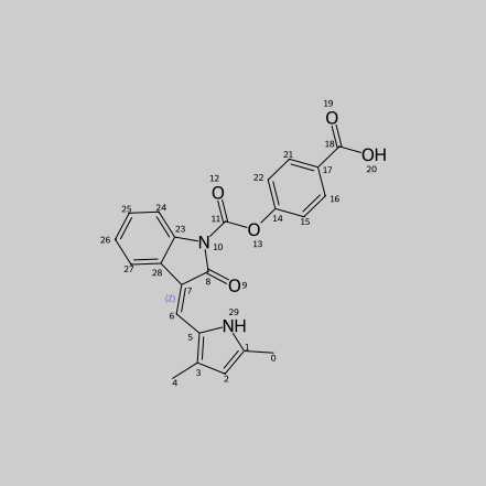 Cc1cc(C)c(/C=C2\C(=O)N(C(=O)Oc3ccc(C(=O)O)cc3)c3ccccc32)[nH]1